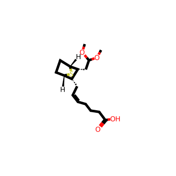 COC(C[C@@H]1[C@H](C/C=C\CCCC(=O)O)[C@@H]2CC[C@H]1S2)OC